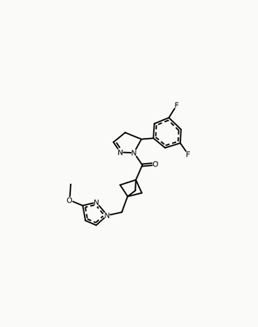 COc1ccn(CC23CC(C(=O)N4N=CCC4c4cc(F)cc(F)c4)(C2)C3)n1